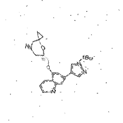 CC(C)(C)n1cc(-c2cc(OC[C@@H]3CNCC4(CC4)O3)c3cccnc3c2)cn1